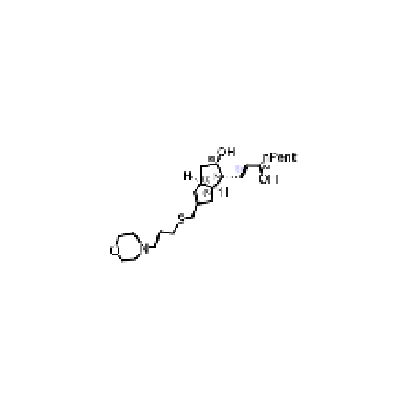 CCCCC[C@H](O)/C=C/[C@@H]1[C@H]2CC(CSCCCN3CCOCC3)=C[C@H]2C[C@H]1O